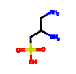 NCC(N)CS(=O)(=O)O